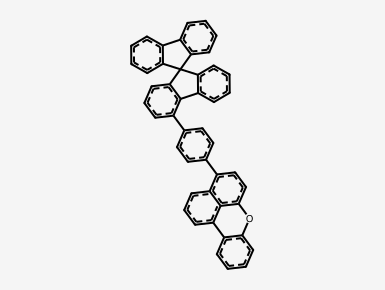 c1ccc2c(c1)Oc1ccc(-c3ccc(-c4cccc5c4-c4ccccc4C54c5ccccc5-c5ccccc54)cc3)c3cccc-2c13